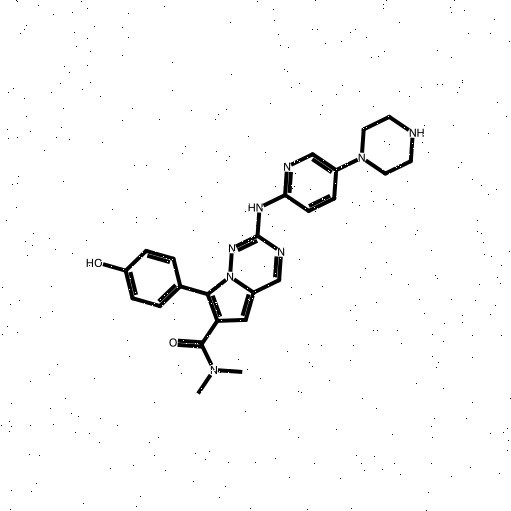 CN(C)C(=O)c1cc2cnc(Nc3ccc(N4CCNCC4)cn3)nn2c1-c1ccc(O)cc1